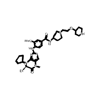 CC[C@@H]1C(=O)N(C)c2cnc(Nc3ccc(C(=O)NC4CCN(CCOC5CCNCC5)CC4)cc3OC)nc2N1C1CCCC1